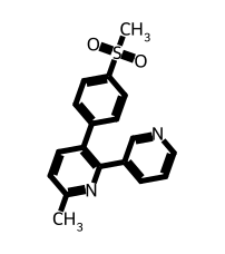 Cc1ccc(-c2ccc(S(C)(=O)=O)cc2)c(-c2cccnc2)n1